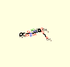 COCCCOc1cc(C[C@@H](C[C@H](N)[C@@H](O)CNC(=O)[C@@H](CC2CCCCC2)OC)C(C)C)ccc1OC.Cl